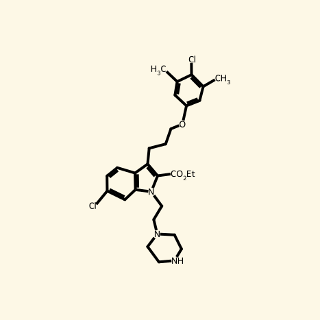 CCOC(=O)c1c(CCCOc2cc(C)c(Cl)c(C)c2)c2ccc(Cl)cc2n1CCN1CCNCC1